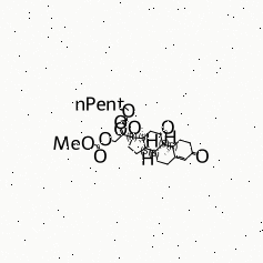 CCCCCOC(=O)O[C@]1(C(=O)COC(=O)OC)CC[C@H]2[C@@H]3CCC4=CC(=O)CC[C@]4(C)[C@H]3C(=O)C[C@@]21C